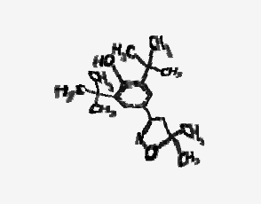 CC1(C)CC(c2cc(C(C)(C)C)c(O)c(C(C)(C)C)c2)=NO1